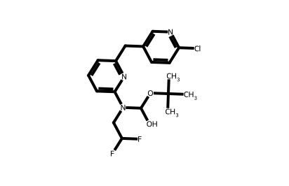 CC(C)(C)OC(O)N(CC(F)F)c1cccc(Cc2ccc(Cl)nc2)n1